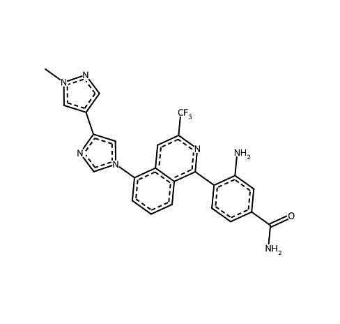 Cn1cc(-c2cn(-c3cccc4c(-c5ccc(C(N)=O)cc5N)nc(C(F)(F)F)cc34)cn2)cn1